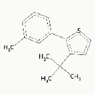 Cc1cccc(-c2sccc2C(C)(C)C)c1